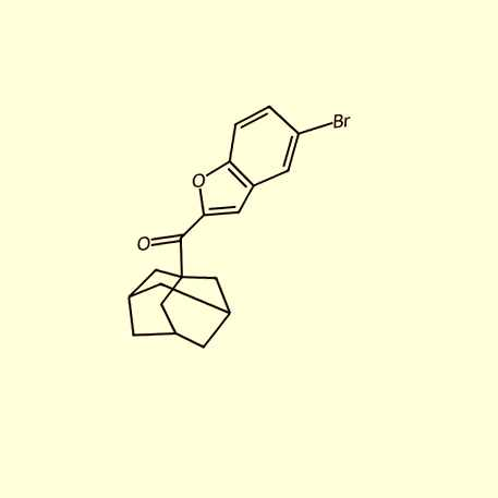 O=C(c1cc2cc(Br)ccc2o1)C12CC3CC(CC(C3)C1)C2